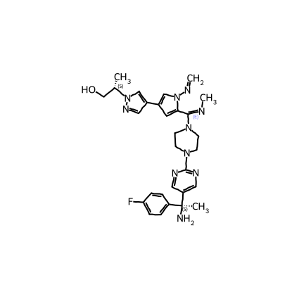 C=Nn1cc(-c2cnn([C@@H](C)CO)c2)cc1/C(=N\C)N1CCN(c2ncc([C@@](C)(N)c3ccc(F)cc3)cn2)CC1